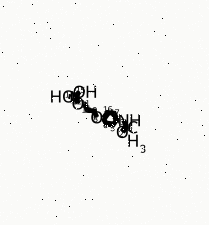 CC(=O)Nc1ccc(OCCCON(O)O)cc1